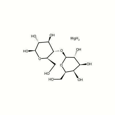 OC[C@H]1O[C@@H](O[C@H]2[C@H](O)[C@@H](O)[C@H](O)O[C@@H]2CO)[C@H](O)[C@@H](O)[C@H]1O.[MgH2]